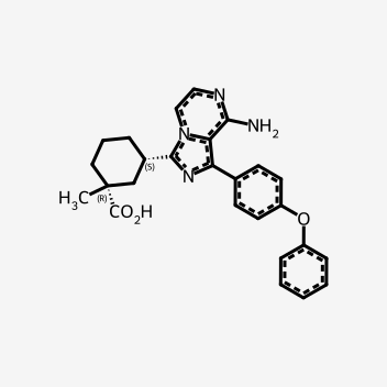 C[C@@]1(C(=O)O)CCC[C@H](c2nc(-c3ccc(Oc4ccccc4)cc3)c3c(N)nccn23)C1